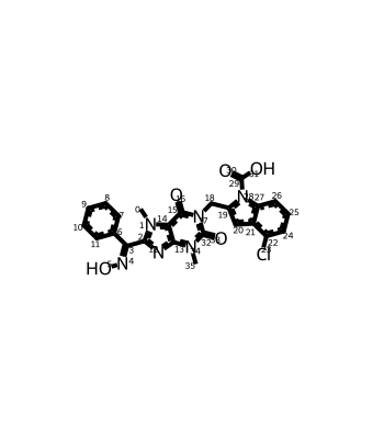 Cn1c(C(=NO)c2ccccc2)nc2c1c(=O)n(Cc1cc3c(Cl)cccc3n1C(=O)O)c(=O)n2C